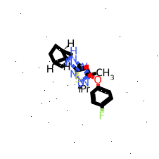 Cc1cc(N2C[C@H]3CC[C@@H](C2)[C@@H]3Nc2nc(Oc3ccc(F)cc3)n(C(C)C)n2)sn1